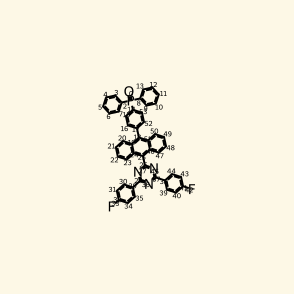 O=P(c1ccccc1)(c1ccccc1)c1ccc(-c2c3ccccc3c(-c3nc(-c4ccc(F)cc4)nc(-c4ccc(F)cc4)n3)c3ccccc23)cc1